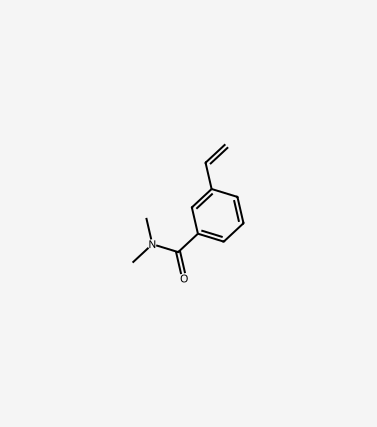 C=Cc1cccc(C(=O)N(C)C)c1